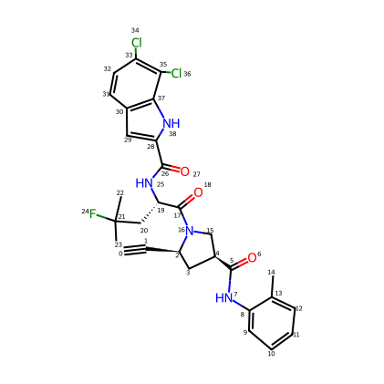 C#C[C@@H]1C[C@H](C(=O)Nc2ccccc2C)CN1C(=O)[C@H](CC(C)(C)F)NC(=O)c1cc2ccc(Cl)c(Cl)c2[nH]1